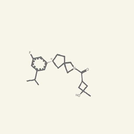 CC(C)c1cc(F)cc([C@@H]2CCC3(C2)CN(C(=O)C2CC(C)(O)C2)C3)c1